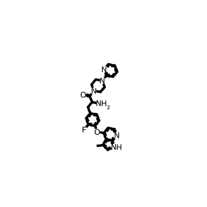 Cc1c[nH]c2nccc(Oc3ccc(CC(N)C(=O)N4CCN(c5ccccn5)CC4)cc3F)c12